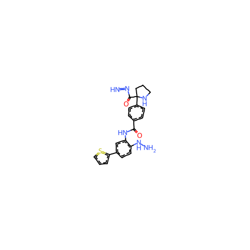 N=NC(=O)C1(c2ccc(C(=O)Nc3cc(-c4cccs4)ccc3NN)cc2)CCCN1